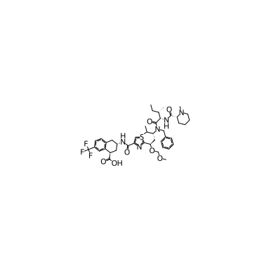 CC[C@H](C)[C@H](NC(=O)[C@H]1CCCCN1C)C(=O)N(Cc1ccccc1)[C@H](C[C@@H](OCOC)c1nc(C(=O)N[C@H]2Cc3ccc(C(F)(F)F)cc3[C@H](C(=O)O)C2)cs1)C(C)C